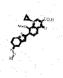 CCO/N=C1/CCc2sc(-c3ccc4c(=O)c(C(=O)O)cn(C5CC5)c4c3OC)cc2C1